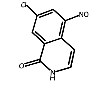 O=Nc1cc(Cl)cc2c(=O)[nH]ccc12